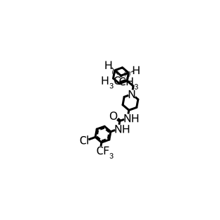 CC1(C)[C@H]2CC=C(CN3CCC(NC(=O)Nc4ccc(Cl)c(C(F)(F)F)c4)CC3)[C@@H]1C2